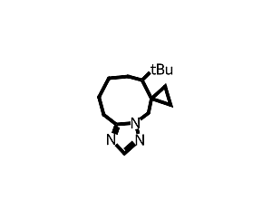 CC(C)(C)C1CCCCc2ncnn2CC12CC2